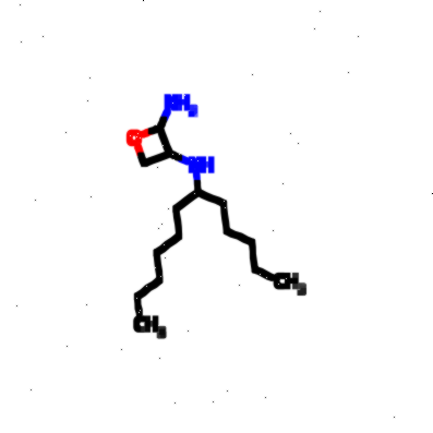 CCCCCCC(CCCCC)NC1COC1N